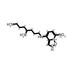 NCCCC(N)CCCNC1=CC=C([N+](=O)[O-])N2ONC=C12